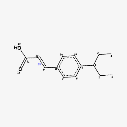 CCC(CC)c1ccc(/C=C/C(=O)O)cc1